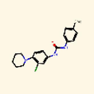 COc1ccc(NC(=O)Nc2ccc(N3CCCCC3)c(F)c2)cc1